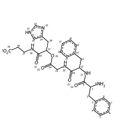 NC(Cc1ccccc1)C(=O)NC(Cc1ccccc1)C(=O)NCC(=O)OC(Cc1c[nH]cn1)C(=O)NCCC(=O)O